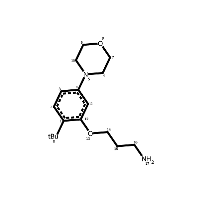 CC(C)(C)c1ccc(N2CCOCC2)cc1OCCCN